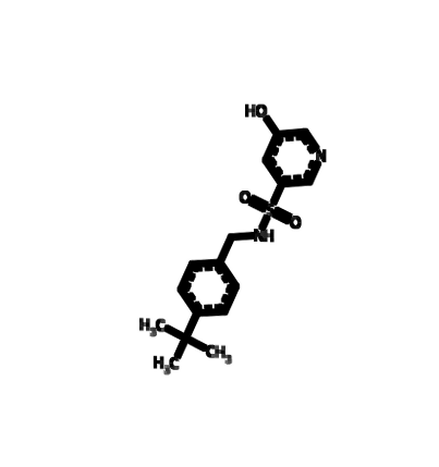 CC(C)(C)c1ccc(CNS(=O)(=O)c2cncc(O)c2)cc1